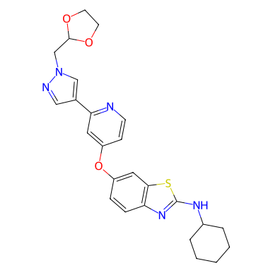 c1cc(Oc2ccc3nc(NC4CCCCC4)sc3c2)cc(-c2cnn(CC3OCCO3)c2)n1